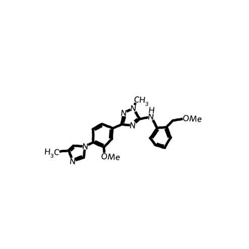 COCc1ccccc1Nc1nc(-c2ccc(-n3cnc(C)c3)c(OC)c2)nn1C